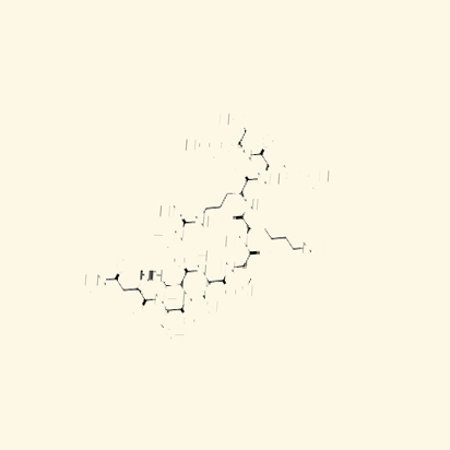 N=C(N)NCCC[C@H](NC(=O)[C@H](CCCCN)NC(=O)[C@H](CS)NC(=O)[C@H](CS)NC(=O)[C@H](CS)NC(=O)[C@H](CS)NC(=O)[C@@H](N)CC(N)=O)C(=O)N[C@@H](CC(=O)O)C(=O)N[C@@H](CO)C(=O)O